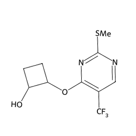 CSc1ncc(C(F)(F)F)c(OC2CCC2O)n1